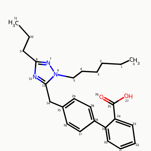 CCCCCCn1nc(CCC)nc1Cc1ccc(-c2ccccc2C(=O)O)cc1